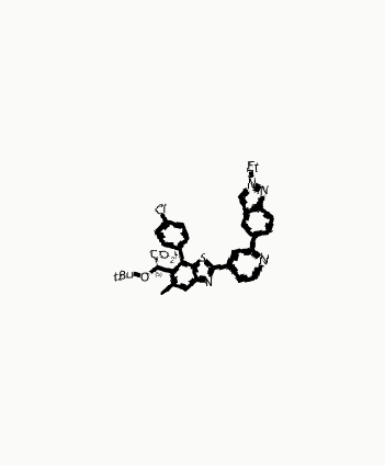 CCn1cc2cc(-c3cc(-c4nc5cc(C)c([C@H](OC(C)(C)C)C(=O)O)c(-c6ccc(Cl)cc6)c5s4)ccn3)ccc2n1